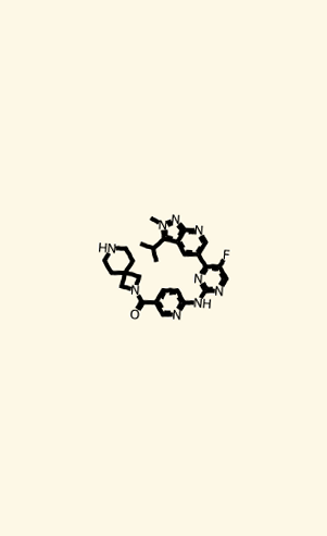 CC(C)c1c2cc(-c3nc(Nc4ccc(C(=O)N5CC6(CCNCC6)C5)cn4)ncc3F)cnc2nn1C